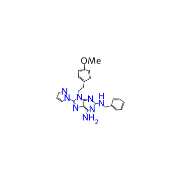 COc1ccc(CCn2c(-n3cccn3)nc3c(N)nc(NCc4ccccc4)nc32)cc1